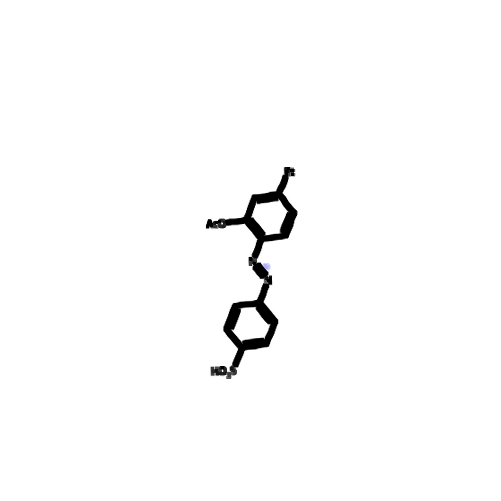 CCc1ccc(/N=N/c2ccc(S(=O)(=O)O)cc2)c(OC(C)=O)c1